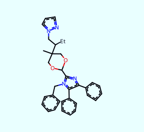 CCC(Cn1cccn1)C1(C)COC(c2nc(-c3ccccc3)c(-c3ccccc3)n2Cc2ccccc2)OC1